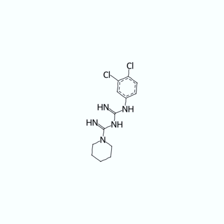 N=C(NC(=N)N1CCCCC1)Nc1ccc(Cl)c(Cl)c1